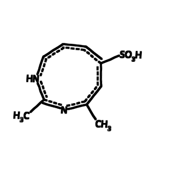 Cc1cc(S(=O)(=O)O)ccc[nH]c(C)n1